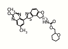 COc1cnc2c(-c3nc4ccc5c(c4s3)C[C@@H](CNC(=O)OCC3CCCCO3)O5)cc(C)cc2n1